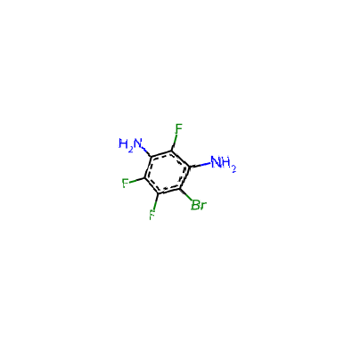 Nc1c(F)c(N)c(Br)c(F)c1F